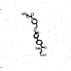 CC(C)(C)OC(=O)N1CCC(COc2ccc(C3=CCC(C(=O)NCCO)CC3)cn2)CC1